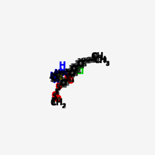 C=CC(=O)OCCCOc1ccc(C(=O)Oc2ccc3c(Cl)c(C4CCC(CCCCC(C)C)CC4)ccc3c2/C=N/Nc2nc3nccnc3s2)cc1